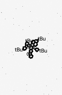 CC(C)(C)c1ccc(N2c3cc4c(cc3B3c5c(c6ccc7cc(C(C)(C)C)cc8ccc(c52)c6c78)-c2cc(C(C)(C)C)cc5c6cc(C(C)(C)C)ccc6n3c25)oc2ccccc24)cc1